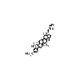 CC(C)SNCCN[C@]12CCCC1[C@H]1CCC3[C@@](C)(CCC4C(C)(C)C(c5ccc(C(=O)O)cc5)=CC[C@@]43C)C1CC2